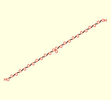 O=C(OCCOCCOCCOCCOCCOCCOCCOCCOCCOCCOCCO)OCCOCCOCCOCCOCCOCCOCCOCCOCCOCCOCCO